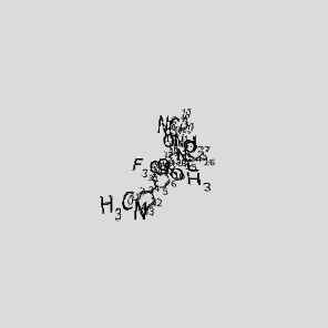 Cc1cc(-c2ccc(S(=O)(=O)[C@@H]3C[C@@H](C(=O)NC4(C#N)CC4)N(C(=O)C4(C)CC4)C3)c(C(F)(F)F)c2)ccn1